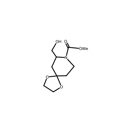 COC(=O)N1CCC2(CC1CO)OCCO2